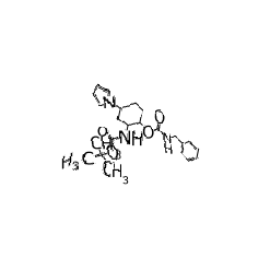 CC(C)(C)OC(=O)NC1CC(n2cccc2)CCC1OC(=O)NCc1ccccc1